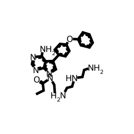 CCC(=O)N(CC)n1cc(-c2ccc(Oc3ccccc3)cc2)c2c(N)ncnc21.NCCNCCN